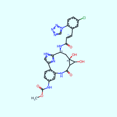 COC(=O)Nc1ccc2c(c1)NC(=O)C1C(O)[C@@]1(O)C[C@H](NC(=O)/C=C/c1cc(Cl)ccc1-n1cnnn1)c1nc-2c[nH]1